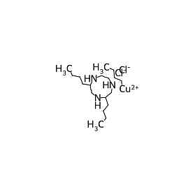 CCCCC1CNCCNC(CCCC)CN1.CCC[CH2][Cu+2].[Cl-].[Cl-]